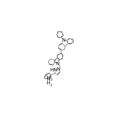 C/C=C\C(=C/N)C1C=CN(Cn2c3c(c4cc(C5=CC=C6C(C5)c5ccccc5N6c5ccccc5)ccc42)CCC=C3)N1